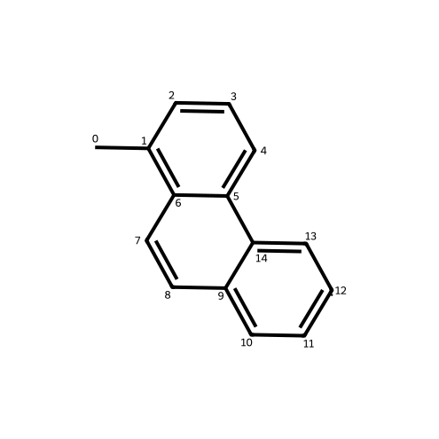 Cc1cccc2c1ccc1cc[c]cc12